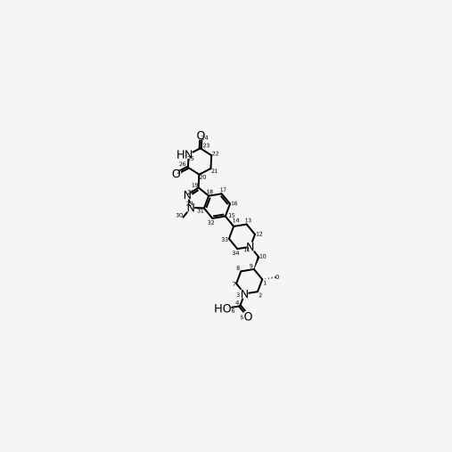 C[C@@H]1CN(C(=O)O)CC[C@H]1CN1CCC(c2ccc3c(C4CCC(=O)NC4=O)nn(C)c3c2)CC1